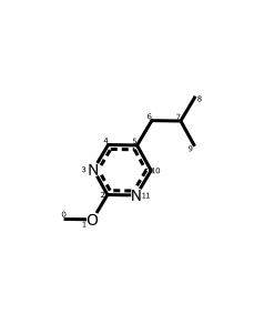 COc1ncc(CC(C)C)cn1